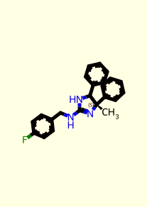 C[C@@]1(c2ccccc2)N=C(NCc2ccc(F)cc2)NC1c1ccccc1